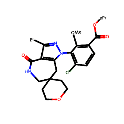 CCCOC(=O)c1ccc(Cl)c(-n2nc(CC)c3c2CC2(CCOCC2)CNC3=O)c1OC